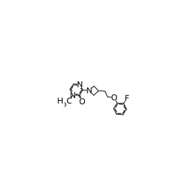 Cn1ccnc(N2CC(CCOc3ccccc3F)C2)c1=O